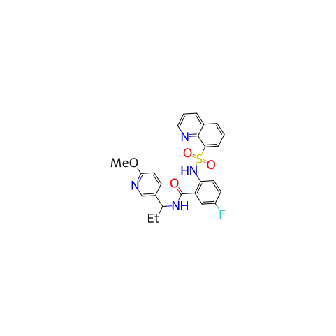 CCC(NC(=O)c1cc(F)ccc1NS(=O)(=O)c1cccc2cccnc12)c1ccc(OC)nc1